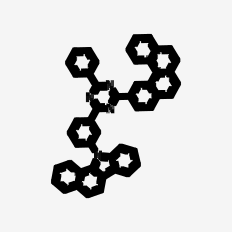 c1ccc(-c2nc(-c3cccc(-n4c5ccccc5c5ccc6ccccc6c54)c3)nc(-c3ccc4ccc5ccc6ccccc6c5c4c3)n2)cc1